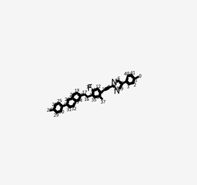 Cc1ccc(-c2cnc(C#Cc3cc(F)c(CCc4ccc5cc(-c6ccc(C)cc6)ccc5c4)cc3C)nc2)cc1